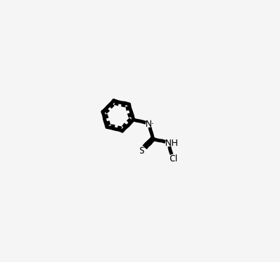 S=C([N]c1ccccc1)NCl